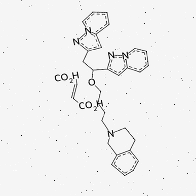 O=C(O)C=CC(=O)O.c1ccc2c(c1)CCN(CCCCOC(Cc1cc3ccccn3n1)c1cc3ccccn3n1)C2